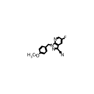 COc1ccc(Cn2nc(C#N)c3cc(F)cnc32)cc1